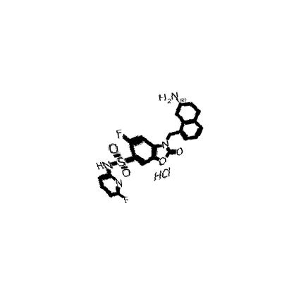 Cl.N[C@@H]1CCc2cccc(Cn3c(=O)oc4cc(S(=O)(=O)Nc5cccc(F)n5)c(F)cc43)c2C1